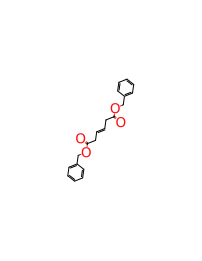 O=C(CC=CCC(=O)OCc1ccccc1)OCc1ccccc1